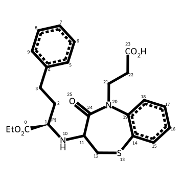 CCOC(=O)[C@@H](CCc1ccccc1)NC1CSc2ccccc2N(CCC(=O)O)C1=O